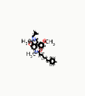 COc1cccc([C@@]23CCN(CC4CC4)C[C@@]2(OC)CC[C@@H](N(C)C(=O)CCCCCc2ccccc2)C3)c1